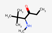 CCC(=O)[C@@H](NC)C(C)(C)C